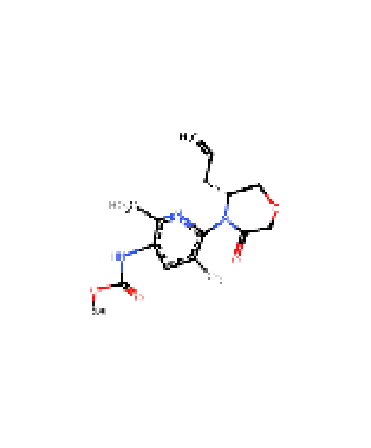 C=CC[C@@H]1COCC(=O)N1c1nc(C(=O)O)c(NC(=O)OC(C)(C)C)cc1C(F)(F)F